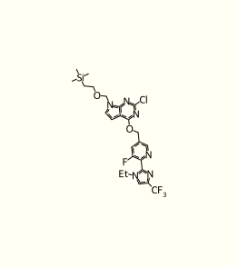 CCn1cc(C(F)(F)F)nc1-c1ncc(COc2nc(Cl)nc3c2ccn3COCC[Si](C)(C)C)cc1F